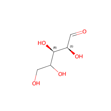 O=C[C@@H](O)[C@H](O)C(O)CO